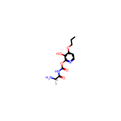 CCCOc1ccnc(OC(=O)NC(=O)[C@H](C)N)c1O